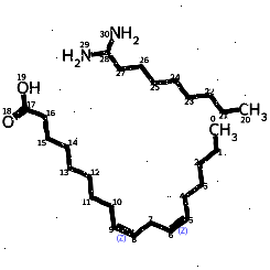 CCCCC/C=C\C/C=C\CCCCCCCC(=O)O.CCCCCCCCC(N)N